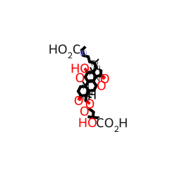 C/C(=C\CC[C@@H](C)[C@H]1CC(=O)[C@@]2(C)C3=C(C(=O)C(O)[C@]12C)[C@@]1(C)CCC(=O)[C@@](C)(COC(=O)CC(C)(O)CC(=O)O)[C@@H]1CC3=O)C(=O)O